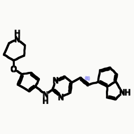 C(=C\c1cccc2[nH]ccc12)/c1cnc(Nc2ccc(OC3CCNCC3)cc2)nc1